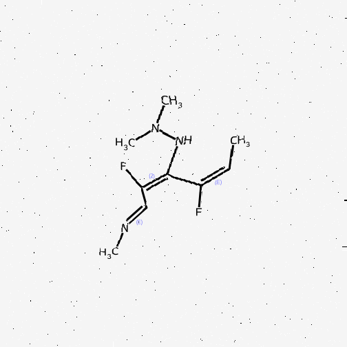 C\C=C(F)/C(NN(C)C)=C(F)\C=N\C